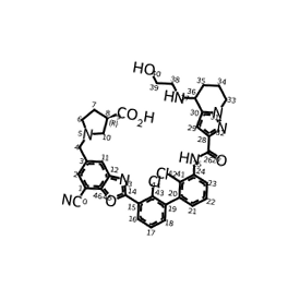 N#Cc1cc(CN2CC[C@@H](C(=O)O)C2)cc2nc(-c3cccc(-c4cccc(NC(=O)c5cc6n(n5)CCCC6NCCO)c4Cl)c3Cl)oc12